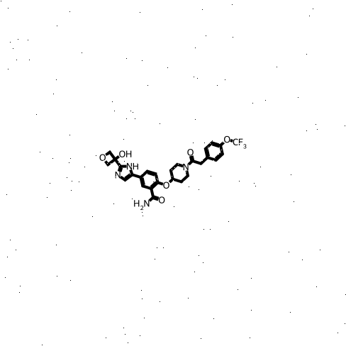 NC(=O)c1cc(-c2cnc(C3(O)COC3)[nH]2)ccc1OC1CCN(C(=O)Cc2ccc(OC(F)(F)F)cc2)CC1